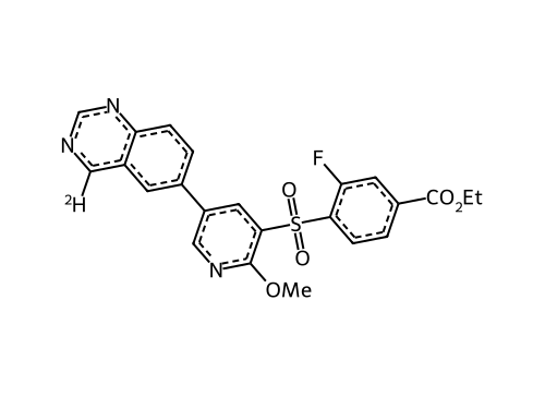 [2H]c1ncnc2ccc(-c3cnc(OC)c(S(=O)(=O)c4ccc(C(=O)OCC)cc4F)c3)cc12